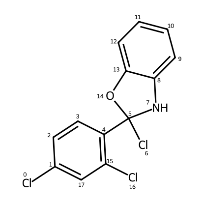 Clc1ccc(C2(Cl)Nc3ccccc3O2)c(Cl)c1